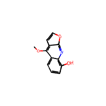 COc1c2ccoc2nc2c(O)cccc12